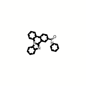 O=[PH](c1ccccc1)c1ccc2c3ccccc3n3c4ccccc4nc3c2c1